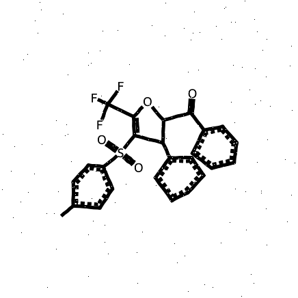 Cc1ccc(S(=O)(=O)C2=C(C(F)(F)F)OC(C(=O)c3ccccc3)C2c2ccccc2)cc1